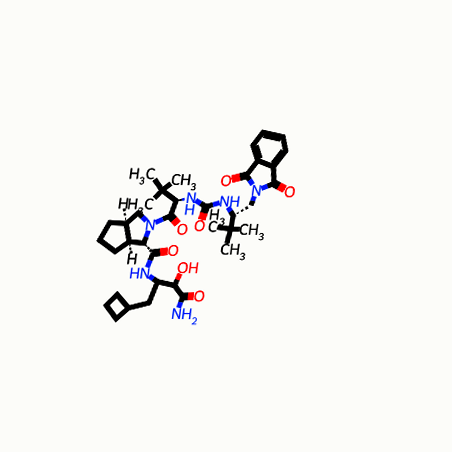 CC(C)(C)[C@H](NC(=O)N[C@H](CN1C(=O)c2ccccc2C1=O)C(C)(C)C)C(=O)N1C[C@@H]2CCC[C@@H]2[C@H]1C(=O)NC(CC1CCC1)C(O)C(N)=O